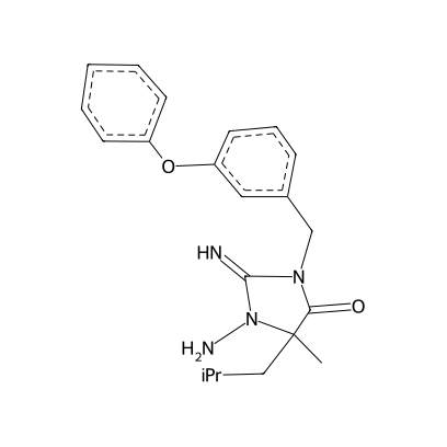 CC(C)CC1(C)C(=O)N(Cc2cccc(Oc3ccccc3)c2)C(=N)N1N